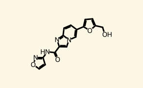 O=C(Nc1ccon1)c1cn2cc(-c3ccc(CO)o3)ccc2n1